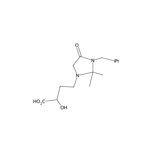 CC(C)CN1C(=O)CN(CCC(O)C(=O)O)C1(C)C